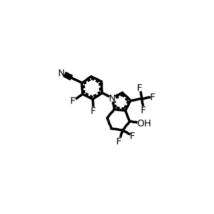 N#Cc1ccc(-n2cc(C(F)(F)F)c3c2CCC(F)(F)C3O)c(F)c1F